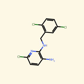 Nc1ccc(Cl)nc1NCc1cc(Cl)ccc1Cl